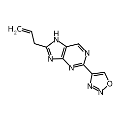 C=CCc1nc2nc(-c3conn3)ncc2[nH]1